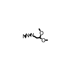 COC(CN=[N+]=[N-])OC